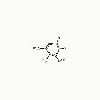 Cc1c(C(=O)O)cc(Cl)c(Cl)c1C(=O)O